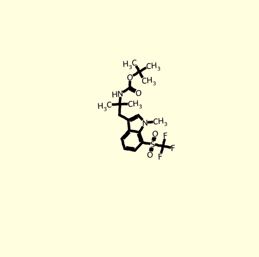 Cn1cc(CC(C)(C)NC(=O)OC(C)(C)C)c2cccc(S(=O)(=O)C(F)(F)F)c21